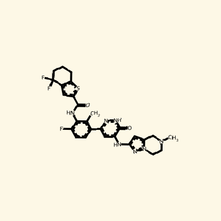 Cc1c(-c2cc(Nc3cc4n(n3)CCN(C)C4)c(=O)[nH]n2)ccc(F)c1NC(=O)c1cc2c(s1)CCCC2(F)F